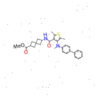 COC(=O)C1CC2(CC(NC(=O)c3c(C)sc(C)c3N(C)c3ccc(-c4ccccc4)cc3)C2)C1